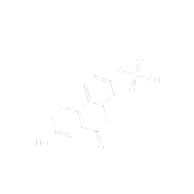 O=c1oc2cc(OS(=O)(=O)O)ccc2c2ccc(O)cc12